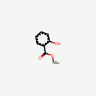 CCCCOC(=O)c1ccc[c]c1O